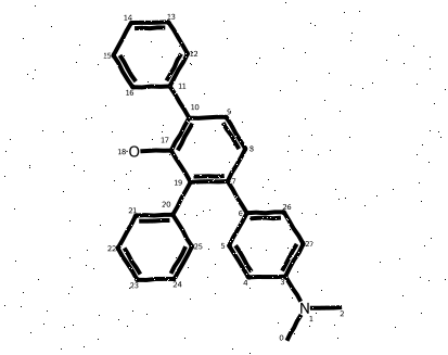 CN(C)c1ccc(-c2ccc(-c3ccccc3)c([O])c2-c2ccccc2)cc1